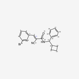 N#C/C(=C\c1cccc(Br)n1)C(=O)NC(c1ccccc1)C1CCC1